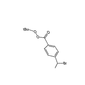 CC(Br)c1ccc(C(=O)OOC(C)(C)C)cc1